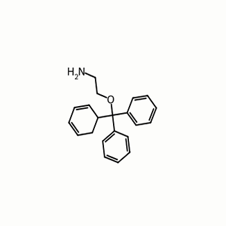 NCCOC(c1ccccc1)(c1ccccc1)C1C=CC=CC1